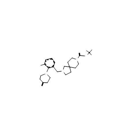 CC(C)(C)OC(=O)N1CCC2(CCN(Cc3cccc(Cl)c3N3CCC(=O)CC3)C2)CC1